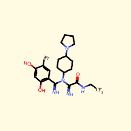 CC(C)c1cc(C(=N)N(C(=N)C(=O)NCC(F)(F)F)C2CCC(N3CCCC3)CC2)c(O)cc1O